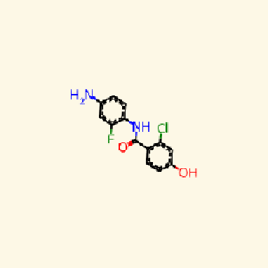 Nc1ccc(NC(=O)c2ccc(O)cc2Cl)c(F)c1